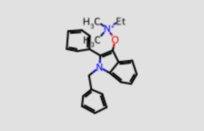 CC[N+](C)(C)Oc1c(-c2ccccc2)n(Cc2ccccc2)c2ccccc12